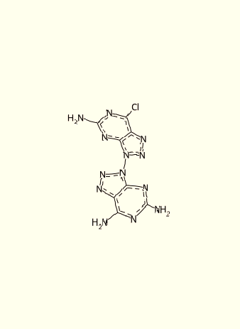 Nc1nc(N)c2nnn(-n3nnc4c(Cl)nc(N)nc43)c2n1